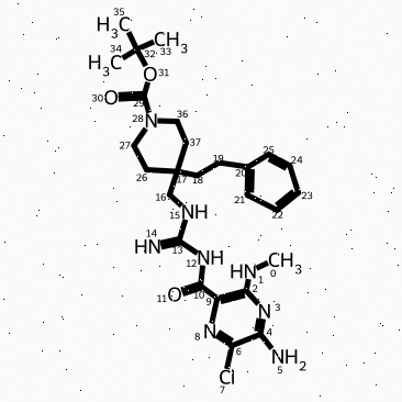 CNc1nc(N)c(Cl)nc1C(=O)NC(=N)NCC1(CCc2ccccc2)CCN(C(=O)OC(C)(C)C)CC1